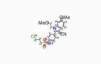 COCCn1c(-c2ccc(NS(=O)(=O)CCCCl)cc2)c(C#N)c2ccc(OC)cc21